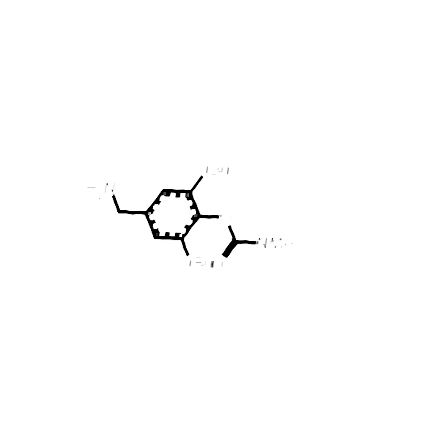 CNC(=O)Oc1c(C(C)(C)C)cc(CN)cc1C(C)(C)C